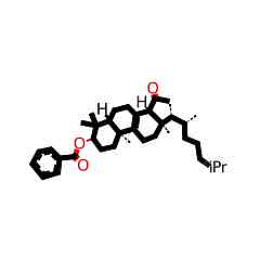 CC(C)CCC[C@@H](C)[C@H]1CC(=O)[C@@H]2C3=C(CC[C@@]21C)[C@@]1(C)CC[C@H](OC(=O)c2ccccc2)C(C)(C)[C@@H]1CC3